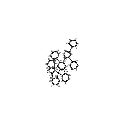 c1ccc(-c2cc(-c3ccccc3)nc(-c3ccccc3-c3ccc4c(c3)C3(c5ccccc5-4)c4ccccc4-c4oc5ccccc5c43)n2)cc1